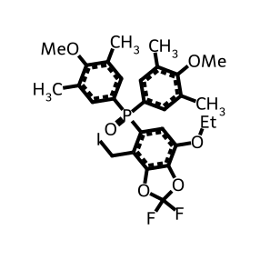 CCOc1cc(P(=O)(c2cc(C)c(OC)c(C)c2)c2cc(C)c(OC)c(C)c2)c(CI)c2c1OC(F)(F)O2